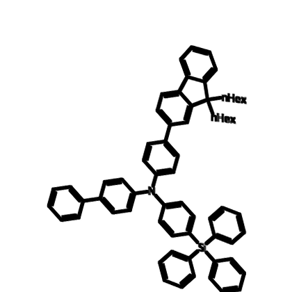 CCCCCCC1(CCCCCC)c2ccccc2-c2ccc(-c3ccc(N(c4ccc(-c5ccccc5)cc4)c4ccc([Si](c5ccccc5)(c5ccccc5)c5ccccc5)cc4)cc3)cc21